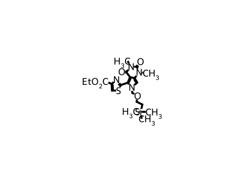 CCOC(=O)c1csc(-c2c3c(=O)n(C)c(=O)n(C)c3cn2COCC[Si](C)(C)C)n1